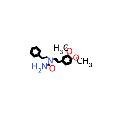 COc1ccc(C=CN(CCc2ccccc2)C(N)=O)cc1OC